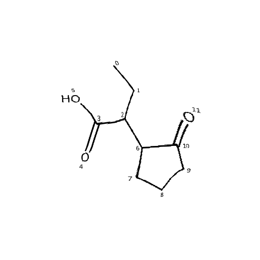 CCC(C(=O)O)C1CCCC1=O